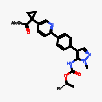 COC(=O)C1(c2ccc(-c3ccc(-c4cnn(C)c4NC(=O)O[C@H](C)C(C)C)cc3)nc2)CC1